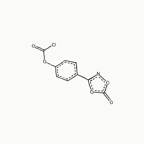 O=C(Cl)Oc1ccc(-c2noc(=O)o2)cc1